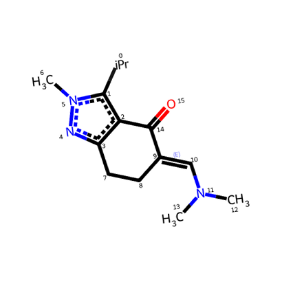 CC(C)c1c2c(nn1C)CC/C(=C\N(C)C)C2=O